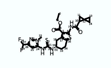 CCOC(=O)c1c(NC(=O)C2CC23CC3)sc2c1C[C@@H](NC(=S)Nc1cc(C(F)F)nn1C)CC2